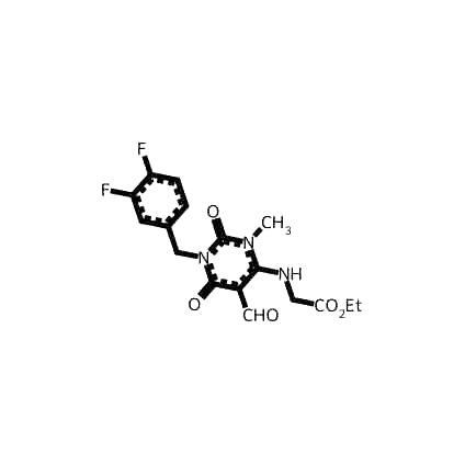 CCOC(=O)CNc1c(C=O)c(=O)n(Cc2ccc(F)c(F)c2)c(=O)n1C